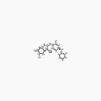 CC1=CN(Cc2ccccc2)C=CC1CC1Cc2cc(C)c(C)cc2C1=O